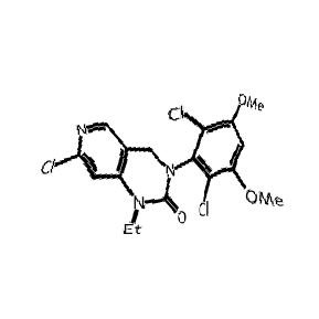 CCN1C(=O)N(c2c(Cl)c(OC)cc(OC)c2Cl)Cc2cnc(Cl)cc21